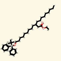 CCCCCCCCCC(CCCCCCCCCO[Si](c1ccccc1)(c1ccccc1)C(C)(C)C)CC(=O)OCC